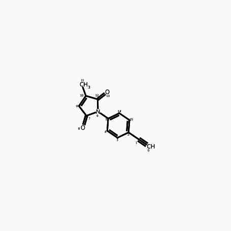 C#Cc1ccc(N2C(=O)C=C(C)C2=O)cc1